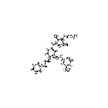 Cl.O=C(O)CN1C(=O)C(=Cc2ccc(OCCc3ccccc3)c(OCc3ccccn3)c2)SC1=S